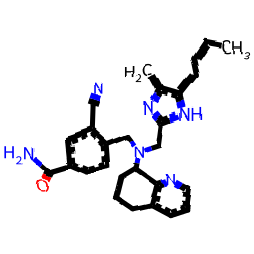 C=c1nc(CN(Cc2ccc(C(N)=O)cc2C#N)C2CCCc3cccnc32)[nH]/c1=C/C=C\C